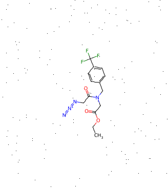 CCOC(=O)CN(Cc1ccc(C(F)(F)F)cc1)C(=O)CN=[N+]=[N-]